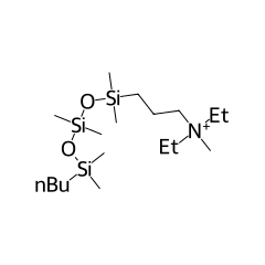 CCCC[Si](C)(C)O[Si](C)(C)O[Si](C)(C)CCC[N+](C)(CC)CC